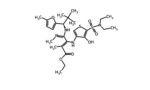 CCOC(=O)/C(C)=C(Nc1csc(S(=O)(=O)N(CC)CC)c1O)/C(=N\C)N[C@@H](c1ccc(C)o1)C(C)(C)C